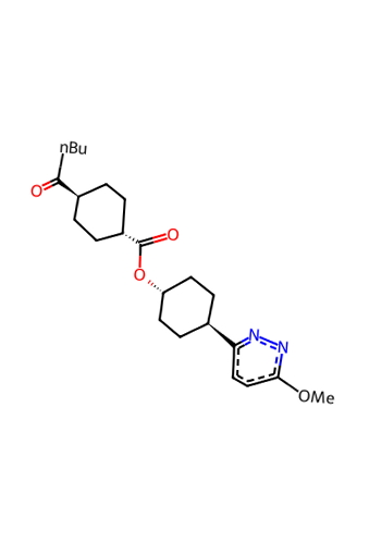 CCCCC(=O)[C@H]1CC[C@H](C(=O)O[C@H]2CC[C@H](c3ccc(OC)nn3)CC2)CC1